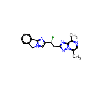 Cc1ncc(C)n2nc(C[C@@H](F)c3cn4c(n3)-c3ccccc3C4)nc12